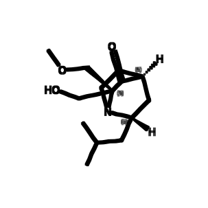 COC[C@@]1(CO)C(=O)[C@H]2CCN1[C@@H](CC(C)C)C2